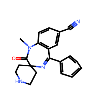 CN1C(=O)C2(CCNCC2)N=C(c2ccccc2)c2cc(C#N)ccc21